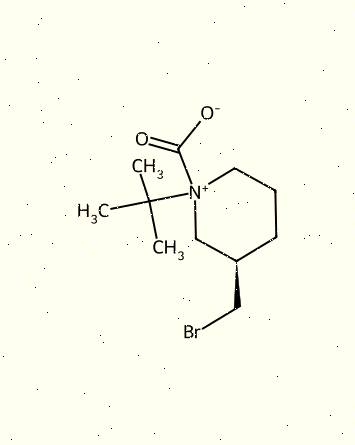 CC(C)(C)[N+]1(C(=O)[O-])CCC[C@@H](CBr)C1